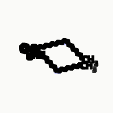 CCCCCCCC/C=C\CCCCCCCCC(CCCCCCCC/C=C\CCCCCCCC)OC(C(N)=O)c1ccccc1